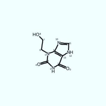 O=c1[nH]c(=O)n(CCO)c2nc[nH]c12